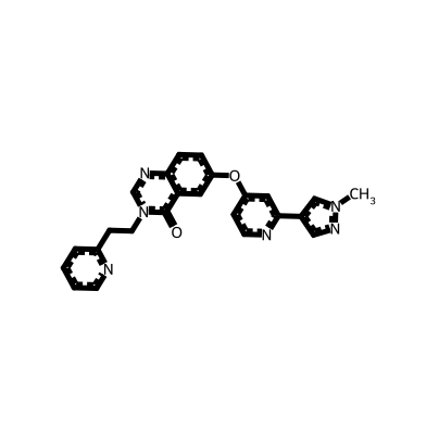 Cn1cc(-c2cc(Oc3ccc4ncn(CCc5ccccn5)c(=O)c4c3)ccn2)cn1